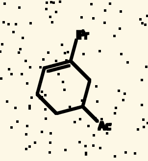 CC(=O)C1CCC=C(C(C)C)C1